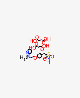 CN(CCOc1ccc(CC2SC(=O)NC2=O)cc1)c1ccccn1.O=C(O)C=CC(=O)O.O=C(O)CCC(=O)O